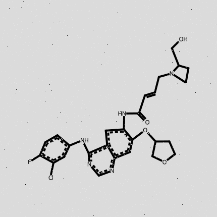 O=C(C=CCN1CCC1CO)Nc1cc2c(Nc3ccc(F)c(Cl)c3)ncnc2cc1OC1CCOC1